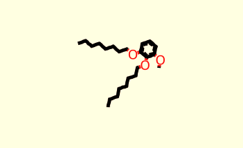 CCCCCCCCOc1cccc(OC)c1OCCCCCCCC